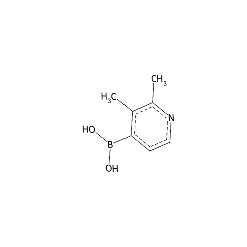 Cc1nccc(B(O)O)c1C